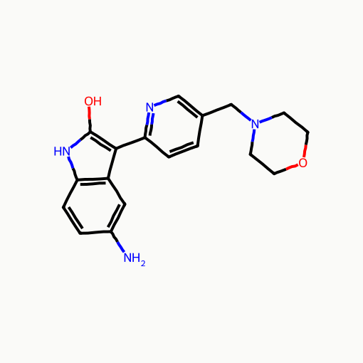 Nc1ccc2[nH]c(O)c(-c3ccc(CN4CCOCC4)cn3)c2c1